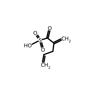 C=CCC(=C)C(=O)S(=O)(=O)O